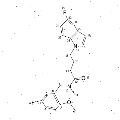 COc1ccc(F)cc1CN(C)C(=O)CCCn1ccc2cc(F)ccc21